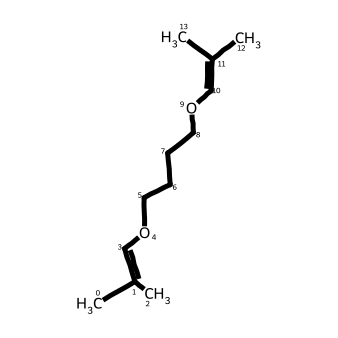 CC(C)=COCCCCOC=C(C)C